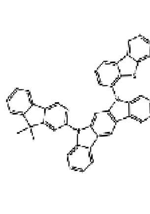 CC1(C)c2ccccc2-c2ccc(-n3c4ccccc4c4cc5c6ccccc6n(-c6cccc7c6sc6ccccc67)c5cc43)cc21